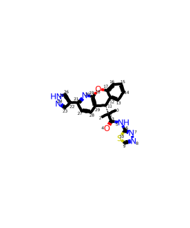 CC(C)(C(=O)Nc1nncs1)[C@H]1c2ccccc2Oc2nc(-c3cn[nH]c3)ccc21